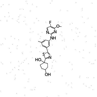 COc1nc(Nc2cc(C)cc(-c3cnc(C4(O)CCC(O)CC4)s3)c2)ncc1F